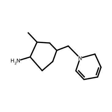 CC1CC(CN2C=CC=CC2)CCC1N